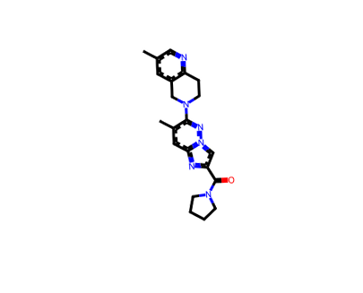 Cc1cnc2c(c1)CN(c1nn3cc(C(=O)N4CCCC4)nc3cc1C)CC2